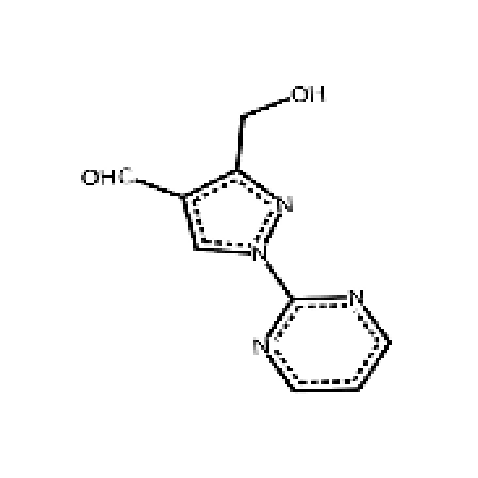 O=Cc1cn(-c2ncccn2)nc1CO